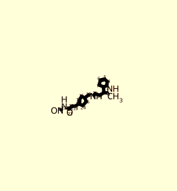 CC1NC2CC=CCC2C1CCNCC1CC=C(CCC(=O)NN=O)CC1